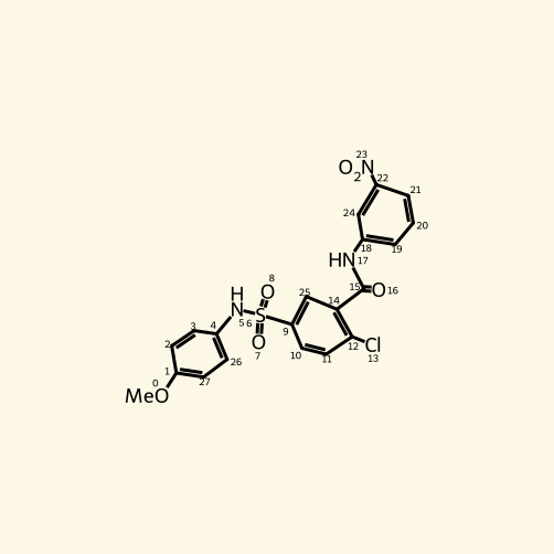 COc1ccc(NS(=O)(=O)c2ccc(Cl)c(C(=O)Nc3cccc([N+](=O)[O-])c3)c2)cc1